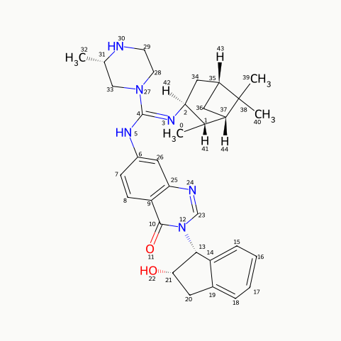 C[C@@H]1[C@@H](N=C(Nc2ccc3c(=O)n([C@@H]4c5ccccc5C[C@@H]4O)cnc3c2)N2CCN[C@@H](C)C2)C[C@H]2C[C@@H]1C2(C)C